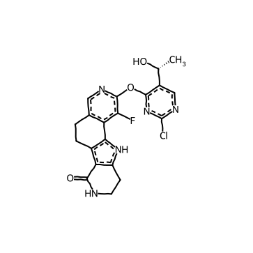 C[C@@H](O)c1cnc(Cl)nc1Oc1ncc2c(c1F)-c1[nH]c3c(c1CC2)C(=O)NCC3